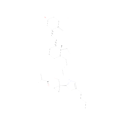 C=C1/C(=C\C=C2/CCC[C@]3(C)[C@@H]([C@H](C)CC[C@@H](OC(=O)C(C)C)C4(c5ncc(CCCC)s5)CC4)CC[C@@H]23)C[C@@H](O)C[C@@H]1O